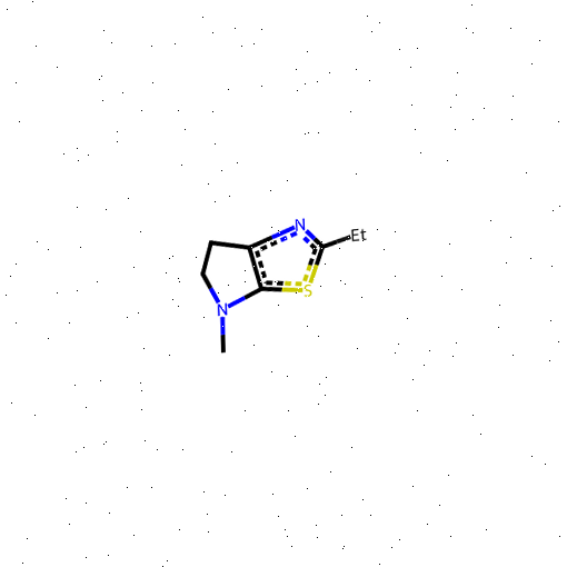 CCc1nc2c(s1)N(C)CC2